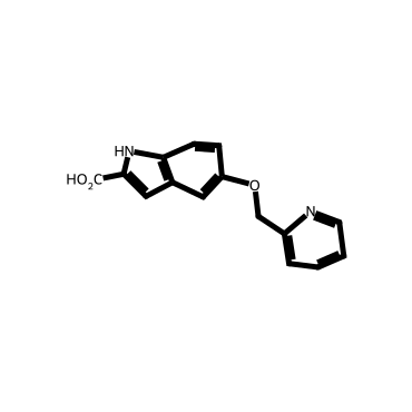 O=C(O)c1cc2cc(OCc3ccccn3)ccc2[nH]1